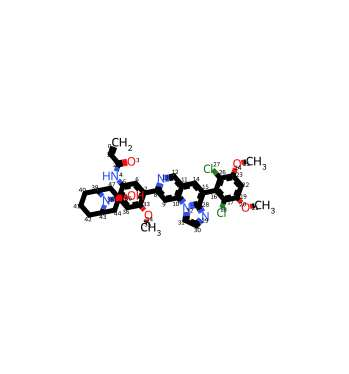 C=CC(=O)Nc1cc(-c2cc3c(cn2)cc(-c2c(Cl)c(OC)cc(OC)c2Cl)c2nccn23)c(OC)cc1N1C2CCCC1CC(O)C2